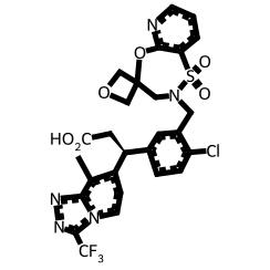 Cc1c([C@@H](CC(=O)O)c2ccc(Cl)c(CN3CC4(COC4)Oc4ncccc4S3(=O)=O)c2)ccn2c(C(F)(F)F)nnc12